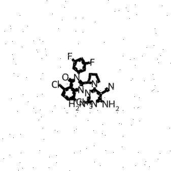 Cc1ccc(Cl)c2c(=O)n(-c3cc(F)cc(F)c3)c(C3CCCN3c3nc(N)nc(N)c3C#N)nc12